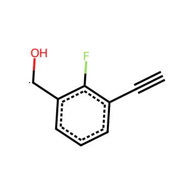 C#Cc1cccc([CH]O)c1F